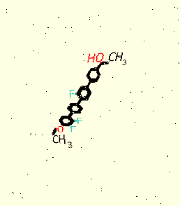 C/C=C\Oc1ccc(-c2ccc(-c3ccc(C4=CCC(C(O)CC)CC4)cc3F)cc2)c(F)c1F